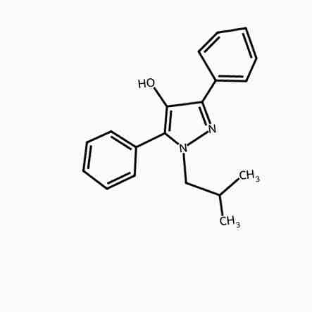 CC(C)Cn1nc(-c2ccccc2)c(O)c1-c1ccccc1